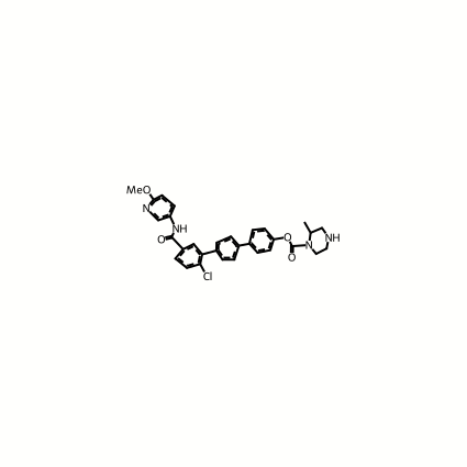 COc1ccc(NC(=O)c2ccc(Cl)c(-c3ccc(-c4ccc(OC(=O)N5CCNCC5C)cc4)cc3)c2)cn1